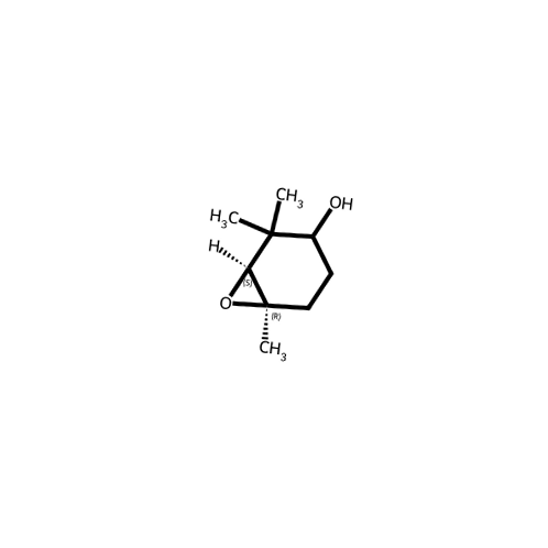 CC1(C)C(O)CC[C@@]2(C)O[C@@H]12